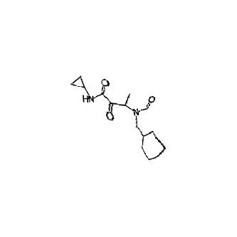 CC(C(=O)C(=O)NC1CC1)N(C=O)CC1CCCCC1